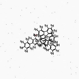 [2H]c1c([2H])c([2H])c(-c2c([2H])c([2H])c(N(c3c([2H])c([2H])c(-c4c([2H])c([2H])c([2H])c([2H])c4[2H])c([2H])c3[2H])c3c([2H])c([2H])c([2H])c4c3C3(c5c([2H])c([2H])c([2H])c([2H])c5-c5c([2H])c([2H])c([2H])c([2H])c53)c3c([2H])c([2H])c([2H])c([2H])c3-4)c([2H])c2[2H])c([2H])c1[2H]